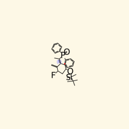 C=C1/C(=C(\C)P(=O)(c2ccccc2)c2ccccc2)CC(O[Si](C)(C)C(C)(C)C)CC1F